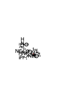 CC(C)C[C@H](NC(=O)C[C@H]1C2CO[C@H]3OCC1C3C2)C(=O)N[C@H](C#N)C[C@@H]1CCNC1=O